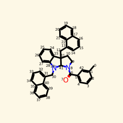 Cc1cccc(C(=O)N2CCC3(Cc4cccc5ccccc45)c4ccccc4N(Cc4cccc5ccccc45)C23)c1